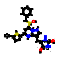 Cc1ccc(-c2cc([S+]([O-])Cc3ccccc3)n3ncc(C=C4NC(=O)NC4=O)c3n2)s1